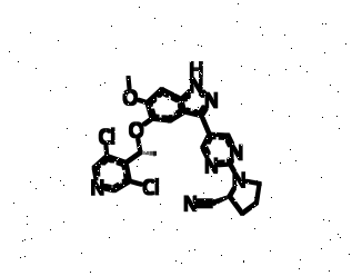 COc1cc2[nH]nc(-c3cnc(N4CCC[C@H]4C#N)nc3)c2cc1O[C@H](C)c1c(Cl)cncc1Cl